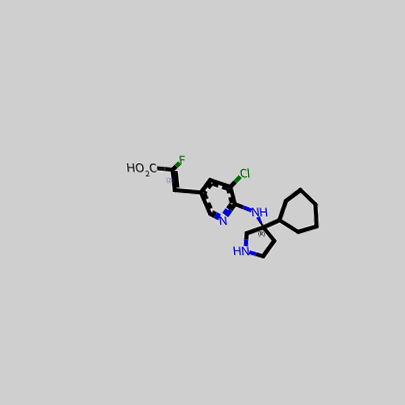 O=C(O)/C(F)=C/c1cnc(N[C@@]2(C3CCCCC3)CCNC2)c(Cl)c1